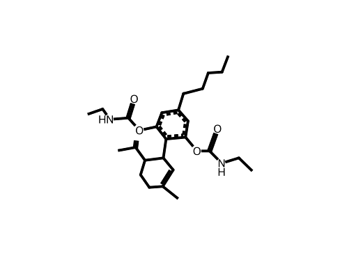 C=C(C)C1CCC(C)=CC1c1c(OC(=O)NCC)cc(CCCCC)cc1OC(=O)NCC